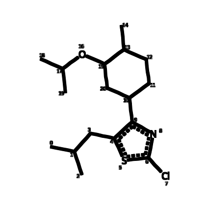 CC(C)Cc1sc(Cl)nc1C1CCC(C)C(OC(C)C)C1